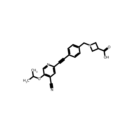 CC(C)Oc1cnc(C#Cc2ccc(CN3CC(C(=O)O)C3)cc2)cc1C#N